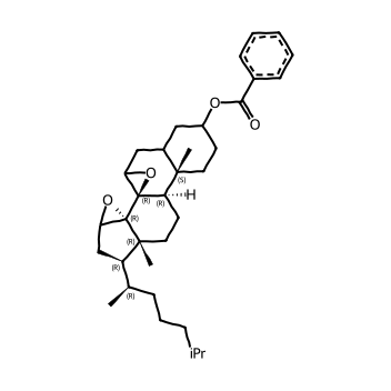 CC(C)CCC[C@@H](C)[C@H]1CC2O[C@]23[C@]1(C)CC[C@@H]1[C@@]2(C)CCC(OC(=O)c4ccccc4)CC2CC2O[C@@]213